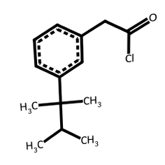 CC(C)C(C)(C)c1cccc(CC(=O)Cl)c1